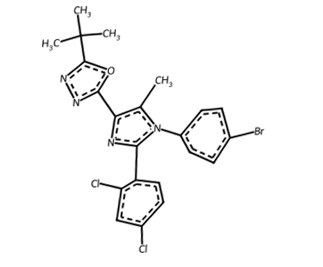 Cc1c(-c2nnc(C(C)(C)C)o2)nc(-c2ccc(Cl)cc2Cl)n1-c1ccc(Br)cc1